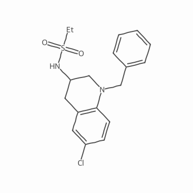 CCS(=O)(=O)NC1Cc2cc(Cl)ccc2N(Cc2ccccc2)C1